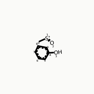 C[S+]=O.Oc1ccccc1